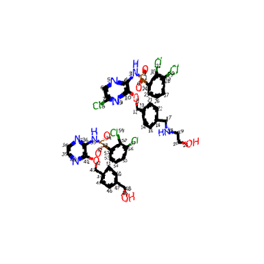 O=S(=O)(Nc1ncc(Cl)nc1OCc1ccc(CNCCO)cc1)c1cccc(Cl)c1Cl.O=S(=O)(Nc1nccnc1OCc1ccc(CO)cc1)c1cccc(Cl)c1Cl